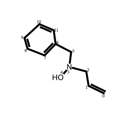 C=CCN(O)Cc1ccccc1